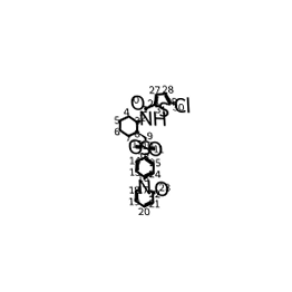 O=C(NC1CCCC[C@@H]1CS(=O)(=O)c1ccc(-n2ccccc2=O)cc1)c1ccc(Cl)s1